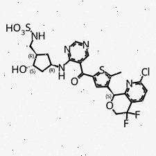 Cc1sc(C(=O)c2cncnc2N[C@H]2C[C@H](O)[C@@H]([CH]NS(=O)(=O)O)C2)cc1[C@@H]1OCC(F)(F)c2ccc(Cl)nc21